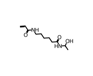 C=CC(=O)NCCCCCC(=O)N[C](C)O